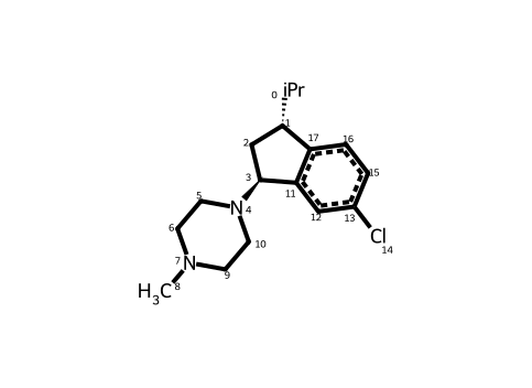 CC(C)[C@H]1C[C@H](N2CCN(C)CC2)c2cc(Cl)ccc21